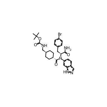 CC(C)(C)OC(=O)NC[C@H]1CC[C@H](C(=O)N(c2ccc3cn[nH]c3c2)[C@@H](Cc2ccc(Br)cc2)C(N)=O)CC1